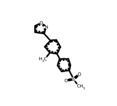 Cc1cc(-c2ccon2)ccc1-c1ccc(S(C)(=O)=O)cc1